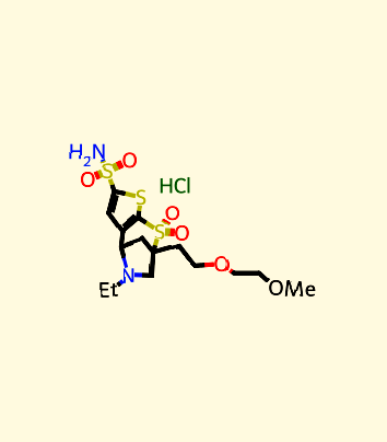 CCN1CC2(CCOCCOC)CC1c1cc(S(N)(=O)=O)sc1S2(=O)=O.Cl